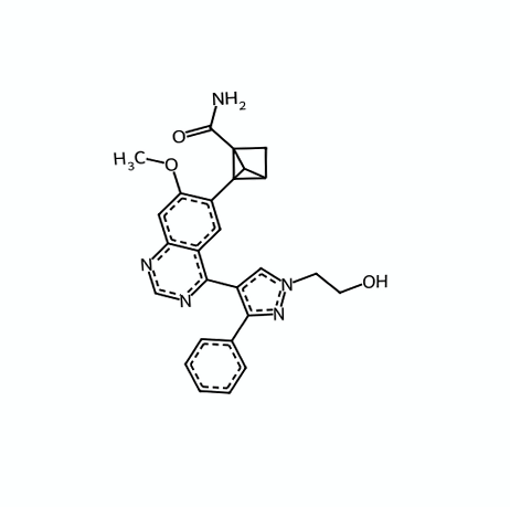 COc1cc2ncnc(-c3cn(CCO)nc3-c3ccccc3)c2cc1C1C2CC1(C(N)=O)C2